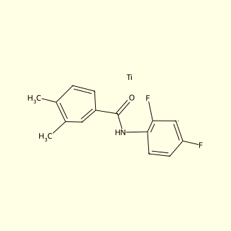 Cc1ccc(C(=O)Nc2ccc(F)[c]c2F)cc1C.[Ti]